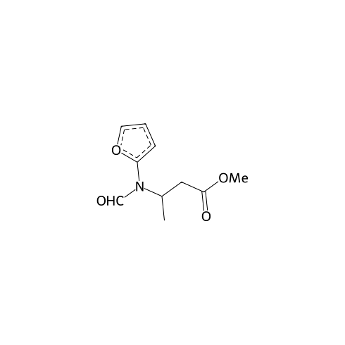 COC(=O)CC(C)N(C=O)c1ccco1